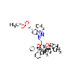 CCOC(=O)/C=C/c1ccc2c(nnn2CC[C@@H](CO[Si](C)(C)C(C)(C)C)O[Si](c2ccccc2)(c2ccccc2)C(C)(C)C)c1C